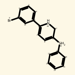 Brc1cccc(C2=CC=C([SiH2]c3ccccc3)CN2)c1